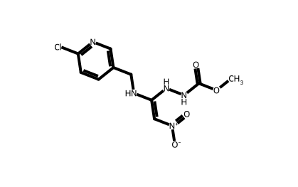 COC(=O)NNC(=C[N+](=O)[O-])NCc1ccc(Cl)nc1